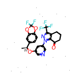 C[C@H](Oc1cncc(-n2nc(C(F)(F)F)c3c2C(=O)CCC3)c1)c1ccc2c(c1)OC(F)(F)O2